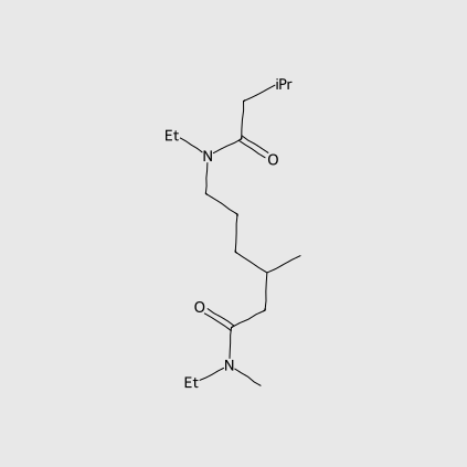 CCN(C)C(=O)CC(C)CCCN(CC)C(=O)CC(C)C